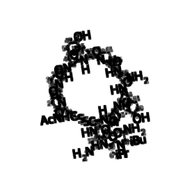 CC[C@H](C)[C@H](NC(=O)[C@H](CC(C)C)NC(=O)[C@H](CCN)NC(=O)[C@@H]1CSSC[C@H](NC(C)=O)C(=O)N2CCC[C@H]2C(=O)N2CCC[C@H]2C(=O)N[C@@H](Cc2ccc(O)cc2)C(=O)N[C@@H](CC(C)C)C(=O)N2CCC[C@H]2C(=O)N[C@H](CN)C(=O)N[C@@H](Cc2ccc(O)cc2)C(=O)N[C@@H](CC(C)C)C(=O)N1)C(N)=O